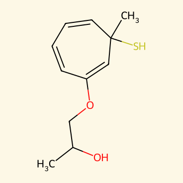 CC(O)COC1=CC(C)(S)C=CC=C1